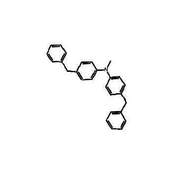 CN(c1ccc(Cc2ccccc2)cc1)c1ccc(Cc2ccccc2)cc1